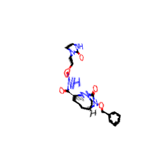 O=C(NOCCN1CCNC1=O)[C@@H]1CC[C@@H]2CN1C(=O)N2OCc1ccccc1